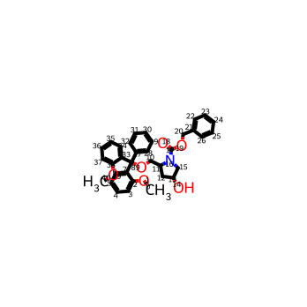 COc1ccccc1C(OCC1CC(O)CN1C(=O)OCc1ccccc1)(c1ccccc1)c1ccccc1OC